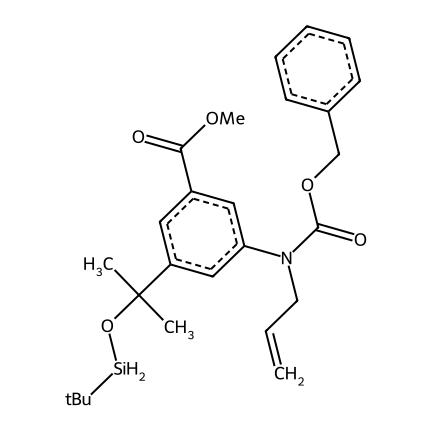 C=CCN(C(=O)OCc1ccccc1)c1cc(C(=O)OC)cc(C(C)(C)O[SiH2]C(C)(C)C)c1